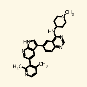 Cc1ccnc(C)c1-c1cnc2[nH]cc(-c3ccc4ncnc(NC5CCN(C)CC5)c4c3)c2c1